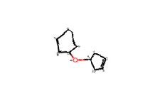 C1=CCC(OC2CCCC2)C1